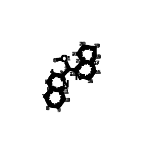 COC(c1ccc2ccccc2n1)c1nccc2ccccc12